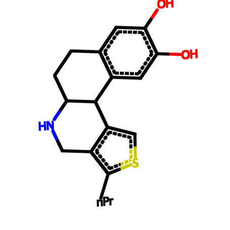 CCCc1scc2c1CNC1CCc3cc(O)c(O)cc3C21